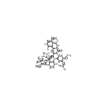 CCOc1cc(C(Nc2ccc3c(N)ncc(C)c3c2)C(=O)N(C)Cc2ccccc2S(=O)(=O)C2CCC2)ccc1OC(C)C.O=C(O)C(F)(F)F